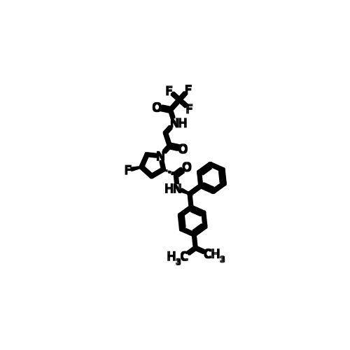 CC(C)c1ccc([C@@H](NC(=O)[C@@H]2C[C@@H](F)CN2C(=O)CNC(=O)C(F)(F)F)c2ccccc2)cc1